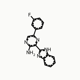 Nc1ncc(-c2cccc(F)c2)nc1-c1nc2ccccc2[nH]1